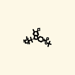 Cc1cc2c(cc1Cl)C1(CCN(C(=O)OC(C)(C)C)CC1)C[C@@H]2C(C)(C)c1ncnn1C